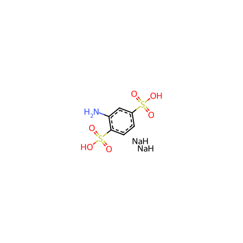 Nc1cc(S(=O)(=O)O)ccc1S(=O)(=O)O.[NaH].[NaH]